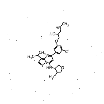 CNCC(O)COc1cc(Cl)cc(-c2cc(NC3COCC3C)n3ncc(C(C)C)c3n2)c1